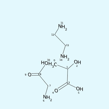 CC(O)C(=O)O.NCC(=O)O.NCCN